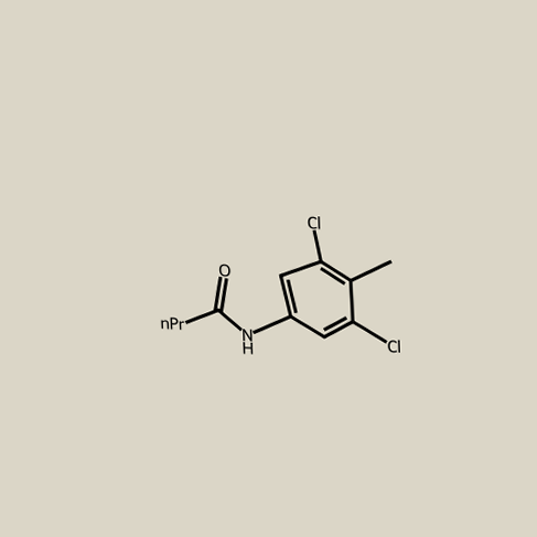 CCCC(=O)Nc1cc(Cl)c(C)c(Cl)c1